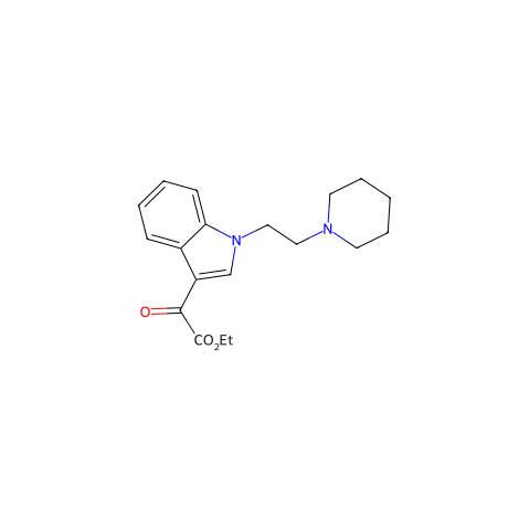 CCOC(=O)C(=O)c1cn(CCN2CCCCC2)c2ccccc12